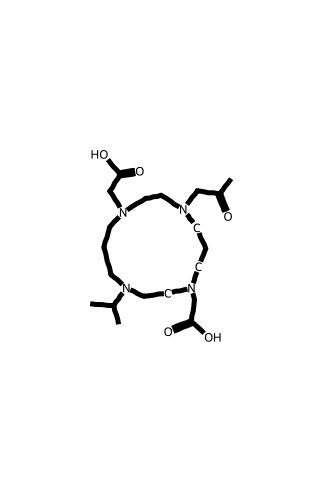 CC(=O)CN1CCCN(CC(=O)O)CCN(C(C)C)CCCN(CC(=O)O)CC1